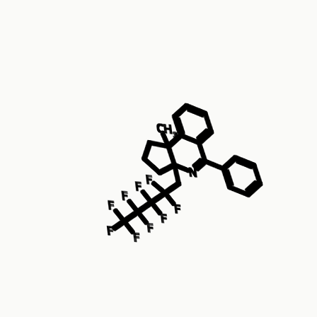 CC12CCCC1(CC(F)(F)C(F)(F)C(F)(F)C(F)(F)F)N=C(c1ccccc1)c1ccccc12